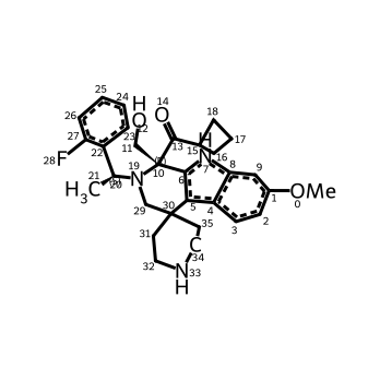 COc1ccc2c3c([nH]c2c1)[C@@](CO)(C(=O)C1CCC1)N([C@@H](C)c1ccccc1F)CC31CCNCC1